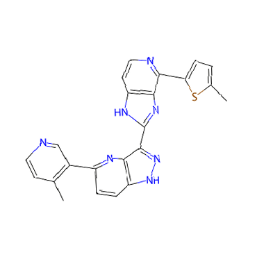 Cc1ccc(-c2nccc3[nH]c(-c4n[nH]c5ccc(-c6cnccc6C)nc45)nc23)s1